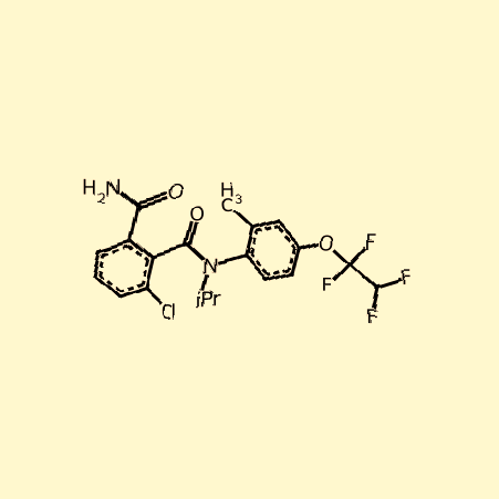 Cc1cc(OC(F)(F)C(F)F)ccc1N(C(=O)c1c(Cl)cccc1C(N)=O)C(C)C